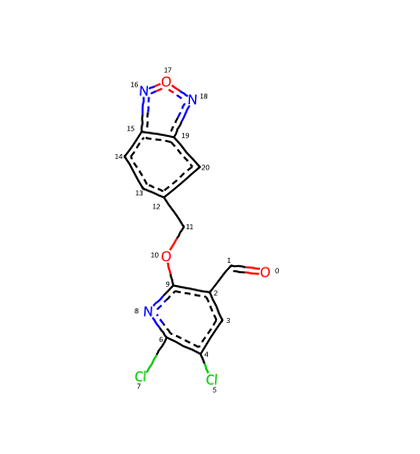 O=Cc1cc(Cl)c(Cl)nc1OCc1ccc2nonc2c1